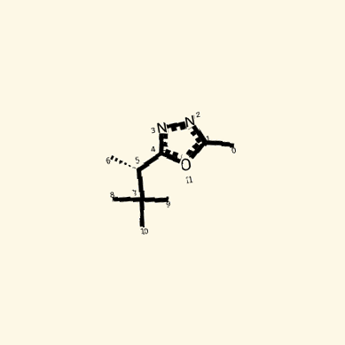 Cc1nnc([C@@H](C)C(C)(C)C)o1